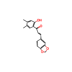 Cc1cc(O)c(C(=O)/C=C/c2ccc3c(c2)OCO3)cc1C